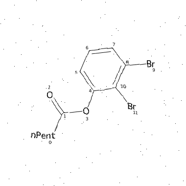 CCCCCC(=O)Oc1cccc(Br)c1Br